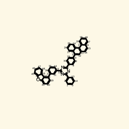 c1ccc(-c2nc(-c3ccc(-c4cc5ccc6ccccc6c5c5ccccc45)cc3)nc(-c3cccc(-c4cccc5oc6ccccc6c45)c3)n2)cc1